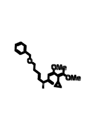 C=C(/C=C(OC)\C(=C(/C)OC)C1CC1)[C@@H](C)/C=C/CCOCc1ccccc1